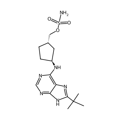 CC(C)(C)c1nc2c(N[C@H]3CC[C@H](COS(N)(=O)=O)C3)ncnc2[nH]1